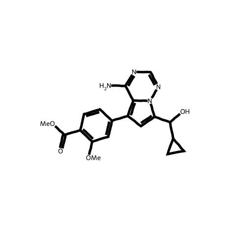 COC(=O)c1ccc(-c2cc(C(O)C3CC3)n3ncnc(N)c23)cc1OC